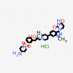 Cl.Cn1nc(N2CCC(=O)NC2=O)c2ccc(C3CCN(CC(C)(O)Cc4cccc(S(=O)(=O)N5CCC(N)CC5)c4)CC3)cc21